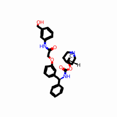 O=C(COc1cccc([C@@H](NC(=O)O[C@H]2CN3CCC2CC3)c2ccccc2)c1)Nc1cccc(CO)c1